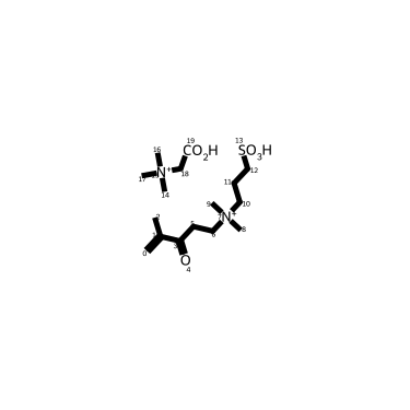 C=C(C)C(=O)CC[N+](C)(C)CCCS(=O)(=O)O.C[N+](C)(C)CC(=O)O